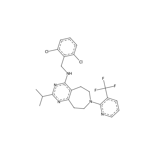 CC(C)c1nc2c(c(NCc3c(Cl)cccc3Cl)n1)CCN(c1ncccc1C(F)(F)F)CC2